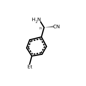 CCc1ccc([C@H](N)C#N)cc1